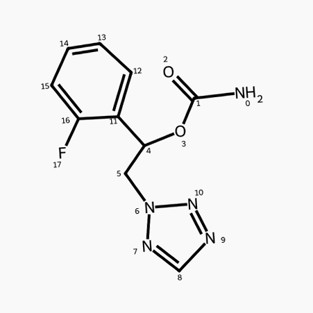 NC(=O)OC(Cn1ncnn1)c1ccccc1F